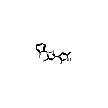 Cc1cc(-c2cc(I)n(-c3ccccc3F)n2)c(C)[nH]1